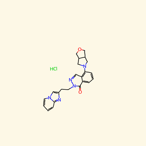 Cl.O=c1c2cccc(N3CC4COCC4C3)c2cnn1CCc1cn2ccccc2n1